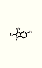 CCCc1c(CC)n(C)c2ccc(CC)cc12